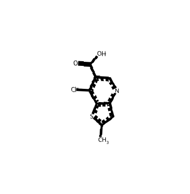 Cc1cc2ncc(C(=O)O)c(Cl)c2s1